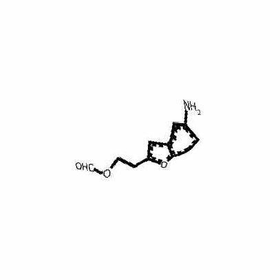 Nc1ccc2oc(CCOC=O)cc2c1